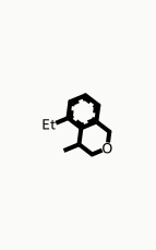 CCc1cccc2c1C(C)COC2